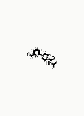 CC(C)NC(=O)N1CCN(c2cccc(C=O)n2)CC1